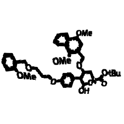 COc1ccccc1COCCCOc1ccc(C2C(O)CN(C(=O)OC(C)(C)C)CC2OCc2cc(OC)c3ccccc3c2OC)cc1